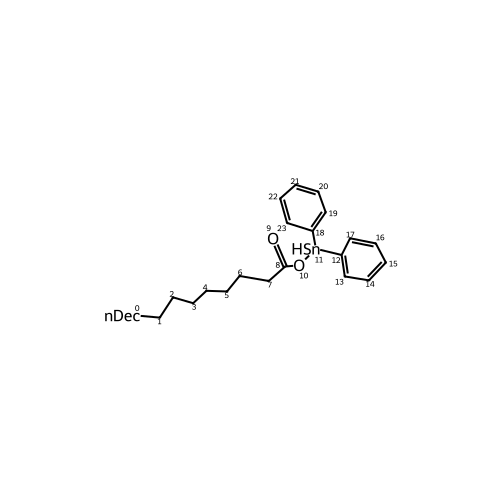 CCCCCCCCCCCCCCCCCC(=O)[O][SnH]([c]1ccccc1)[c]1ccccc1